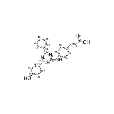 O=C(O)/C=C/c1ccc(Nc2nc(-c3ccccc3)nc(-c3ccc(O)cc3)n2)cc1